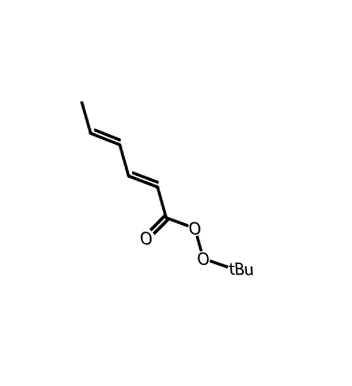 CC=CC=CC(=O)OOC(C)(C)C